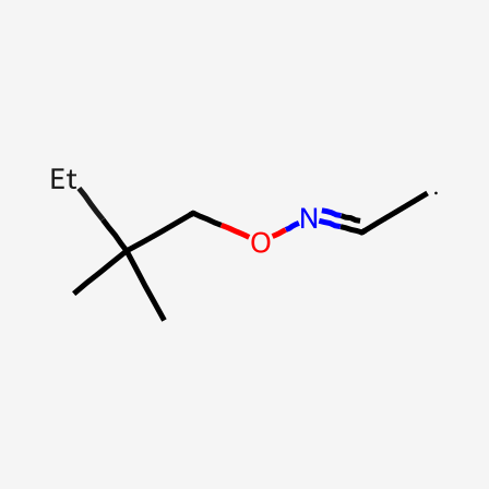 [CH2]C=NOCC(C)(C)CC